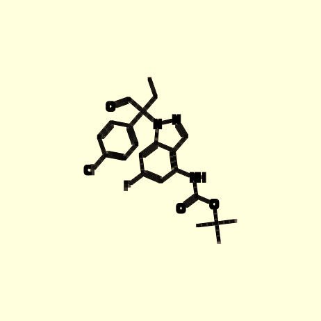 CCC(C=O)(c1ccc(Cl)cc1)n1ncc2c(NC(=O)OC(C)(C)C)cc(F)cc21